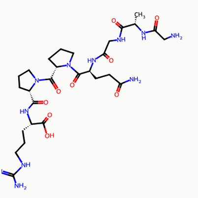 C[C@H](NC(=O)CN)C(=O)NCC(=O)N[C@@H](CCC(N)=O)C(=O)N1CCC[C@H]1C(=O)N1CCC[C@H]1C(=O)N[C@@H](CCCNC(=N)N)C(=O)O